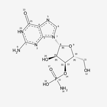 Nc1nc2c(ncn2[C@@H]2O[C@H](CO)[C@@H](OP(N)(=O)O)[C@H]2O)c(=O)[nH]1